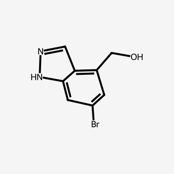 OCc1cc(Br)cc2[nH]ncc12